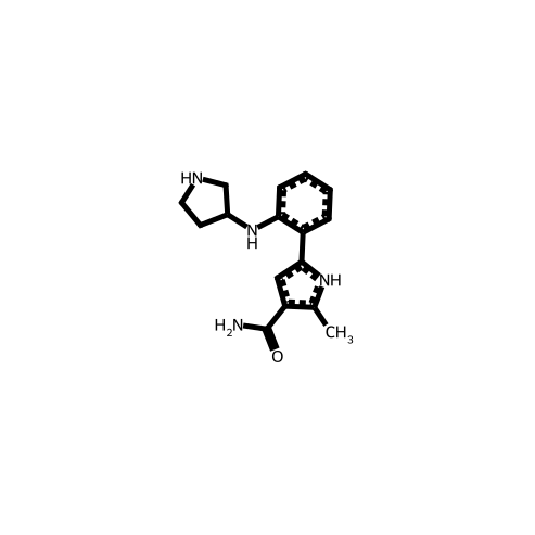 Cc1[nH]c(-c2ccccc2NC2CCNC2)cc1C(N)=O